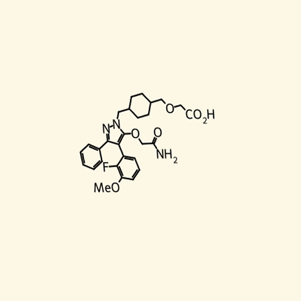 COc1cccc(-c2c(-c3ccccc3)nn(CC3CCC(COCC(=O)O)CC3)c2OCC(N)=O)c1F